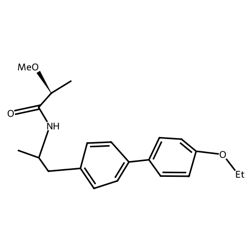 CCOc1ccc(-c2ccc(CC(C)NC(=O)[C@H](C)OC)cc2)cc1